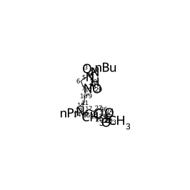 CCCCNC(=O)N1CCCN(CCCCN(CCC)C(C)Cc2ccc(S(C)(=O)=O)cc2)C(=O)C1